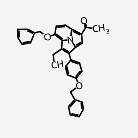 CCc1c(-c2ccc(OCc3ccccc3)cc2)c2cc(C(C)=O)c3ccc(OCc4ccccc4)c1n32